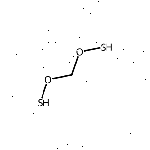 SOCOS